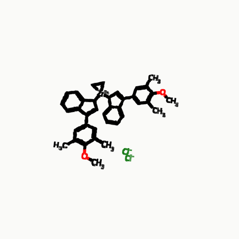 COc1c(C)cc(C2=C[CH]([Zr+2]3([CH]4C=C(c5cc(C)c(OC)c(C)c5)c5ccccc54)[CH2][CH2]3)c3ccccc32)cc1C.[Cl-].[Cl-]